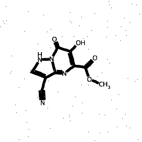 COC(=O)c1nc2c(C#N)c[nH]n2c(=O)c1O